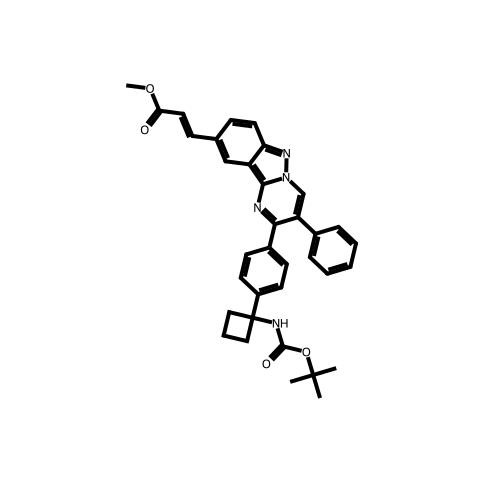 COC(=O)C=Cc1ccc2nn3cc(-c4ccccc4)c(-c4ccc(C5(NC(=O)OC(C)(C)C)CCC5)cc4)nc3c2c1